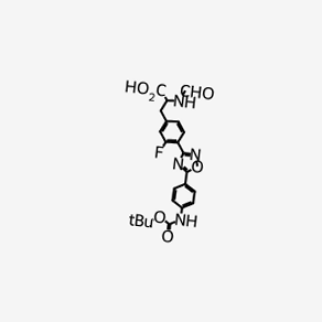 CC(C)(C)OC(=O)Nc1ccc(-c2nc(-c3ccc(CC(NC=O)C(=O)O)cc3F)no2)cc1